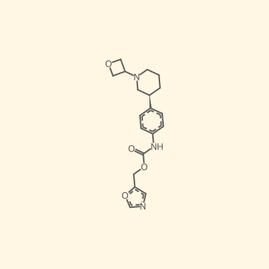 O=C(Nc1ccc([C@@H]2CCCN(C3COC3)C2)cc1)OCc1cnco1